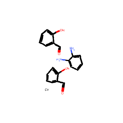 Nc1ccccc1N.O=Cc1ccccc1O.O=Cc1ccccc1O.[Co]